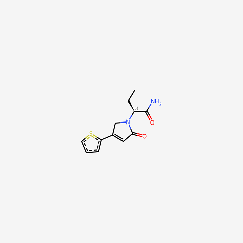 CC[C@@H](C(N)=O)N1CC(c2cccs2)=CC1=O